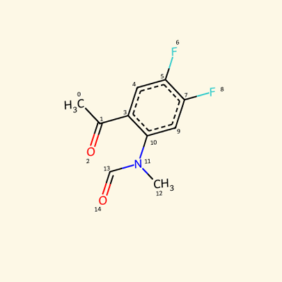 CC(=O)c1cc(F)c(F)cc1N(C)C=O